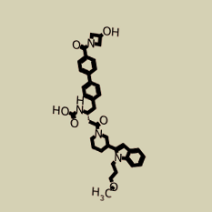 COCCCn1c(C2CCCN(C(=O)C[C@@H](Cc3ccc(-c4ccc(C(=O)N5CC(O)C5)cc4)cc3)NC(=O)O)C2)cc2ccccc21